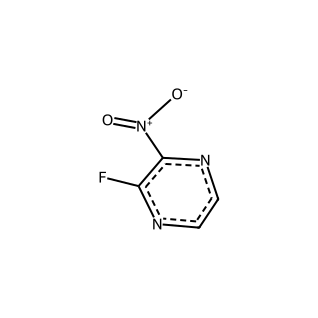 O=[N+]([O-])c1nccnc1F